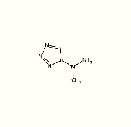 CN(N)n1cnnn1